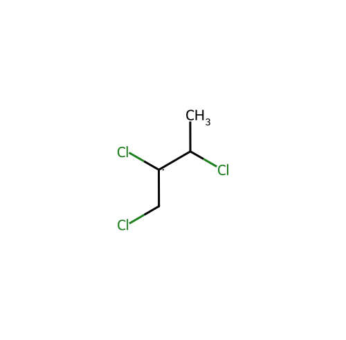 CC(Cl)[C](Cl)CCl